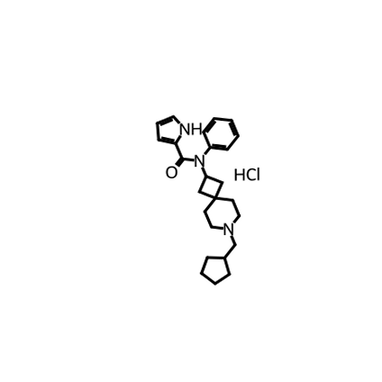 Cl.O=C(c1ccc[nH]1)N(c1ccccc1)C1CC2(CCN(CC3CCCC3)CC2)C1